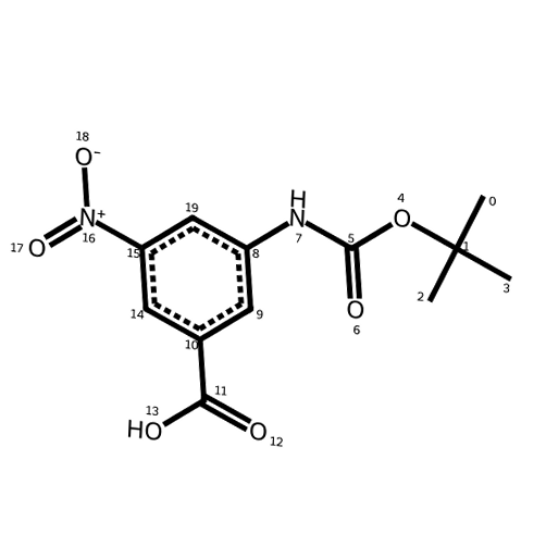 CC(C)(C)OC(=O)Nc1cc(C(=O)O)cc([N+](=O)[O-])c1